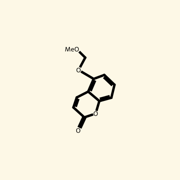 COCOc1cccc2oc(=O)ccc12